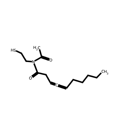 CCCCCC=C=CCC(=O)N(CCS)C(C)=O